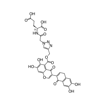 O=C(O)CC[C@H](NC(=O)Cn1cc(COC(=O)c2c(O)c(O)cc3occ(C4=CCc5cc(O)c(O)cc5C4=O)c(=O)c23)nn1)C(=O)O